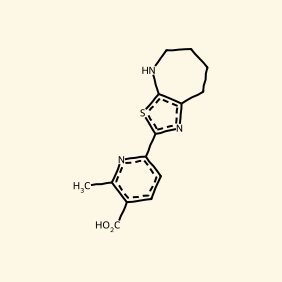 Cc1nc(-c2nc3c(s2)NCCCC3)ccc1C(=O)O